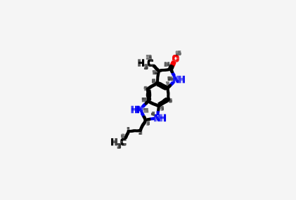 CCCC1Nc2cc3c(cc2N1)C(C)C(=O)N3